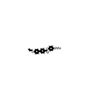 C=CCOc1ccc(-c2ccc(C(=O)Oc3ccc(OC)cc3)cc2)cc1